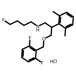 Cc1cccc(C)c1C(CNCCCCF)COCc1c(F)cccc1F.Cl